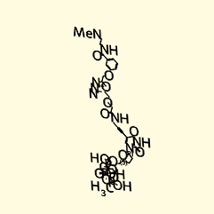 CNCCNC(=O)c1cccc(OCC(N=[N+]=[N-])OCCOCC(=O)NCC#Cc2cn([C@H]3CC[C@@H](COP(=O)(O)OP(=O)(O)OP(C)(=O)O)O3)c(=O)[nH]c2=O)c1